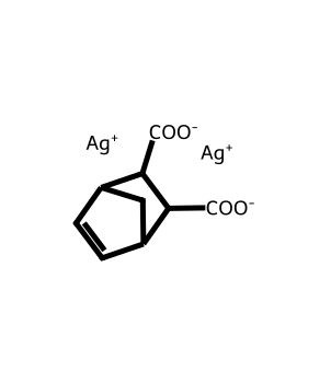 O=C([O-])C1C2C=CC(C2)C1C(=O)[O-].[Ag+].[Ag+]